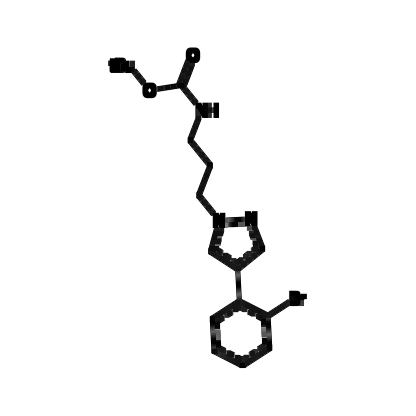 CC(C)(C)OC(=O)NCCCn1cc(-c2ccccc2Br)cn1